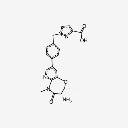 C[C@H]1Oc2cc(-c3ccc(Cn4ccc(C(=O)O)n4)cc3)cnc2N(C)C(=O)[C@H]1N